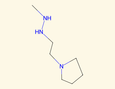 CNNCCN1CCCC1